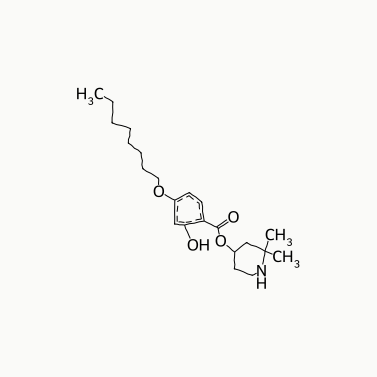 CCCCCCCCOc1ccc(C(=O)OC2CCNC(C)(C)C2)c(O)c1